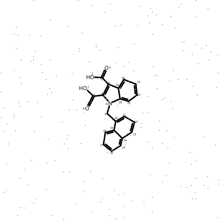 O=C(O)c1c(C(=O)O)n(Cc2cccc3ccccc23)c2ccccc12